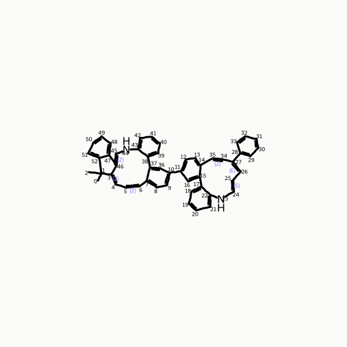 CC1(C)C2=C/C=C\c3ccc(-c4ccc5c(c4)-c4ccccc4N/C=C/C=C(c4ccccc4)\C=C/5)cc3-c3ccccc3N\C=C\2c2ccccc21